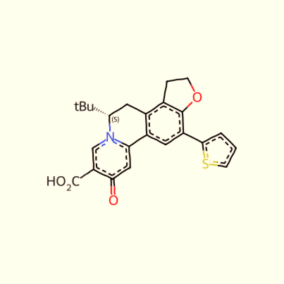 CC(C)(C)[C@@H]1Cc2c(cc(-c3cccs3)c3c2CCO3)-c2cc(=O)c(C(=O)O)cn21